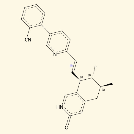 C[C@H]1[C@H](/C=C/c2ccc(-c3ccccc3C#N)cn2)c2c[nH]c(=O)cc2C[C@@H]1C